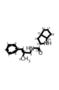 CC(=Cc1ccccc1)CNC(=O)[C@@H]1CC2CCCC2N1